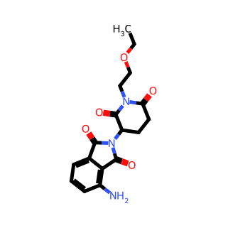 CCOCCN1C(=O)CCC(N2C(=O)c3cccc(N)c3C2=O)C1=O